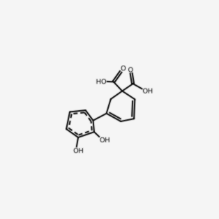 O=C(O)C1(C(=O)O)C=CC=C(c2cccc(O)c2O)C1